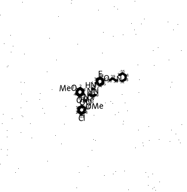 COc1ccc(N(C(=O)Oc2ccc(Cl)cc2OC)c2ccnc(Nc3ccc(OCCCN4CCCCC4)c(F)c3)n2)c(OC)c1